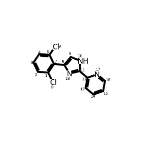 Clc1cccc(Cl)c1-c1c[nH]c(-c2ccccn2)n1